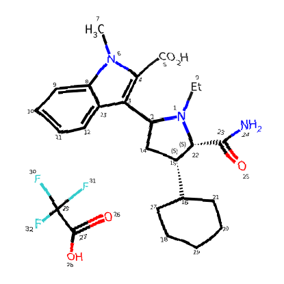 CCN1C(c2c(C(=O)O)n(C)c3ccccc23)C[C@@H](C2CCCCC2)[C@H]1C(N)=O.O=C(O)C(F)(F)F